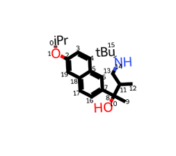 CC(C)Oc1ccc2cc(C(C)(O)C(C)CNC(C)(C)C)ccc2c1